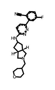 N#Cc1ccc(F)cc1-c1ccc(NC2C[C@@H]3CN(CC4CCOCC4)C[C@@H]3C2)nn1